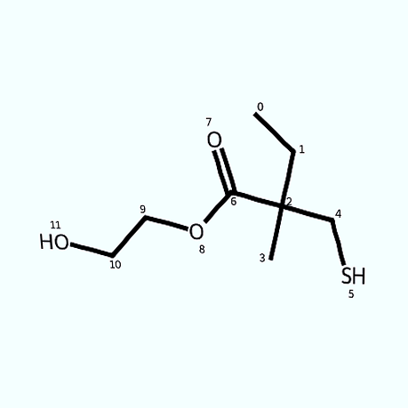 CCC(C)(CS)C(=O)OCCO